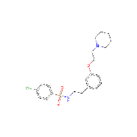 O=S(=O)(NCCc1cccc(OCCN2CCCCC2)c1)c1ccc(Cl)cc1